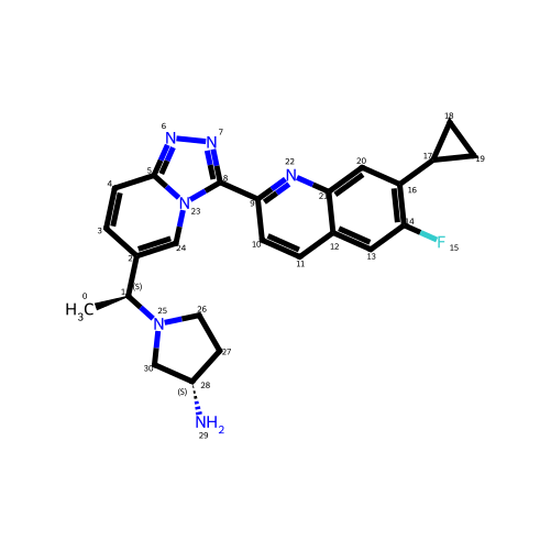 C[C@@H](c1ccc2nnc(-c3ccc4cc(F)c(C5CC5)cc4n3)n2c1)N1CC[C@H](N)C1